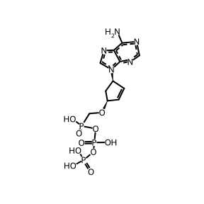 Nc1ncnc2c1ncn2[C@H]1C=C[C@@H](OCP(=O)(O)OP(=O)(O)OP(=O)(O)O)C1